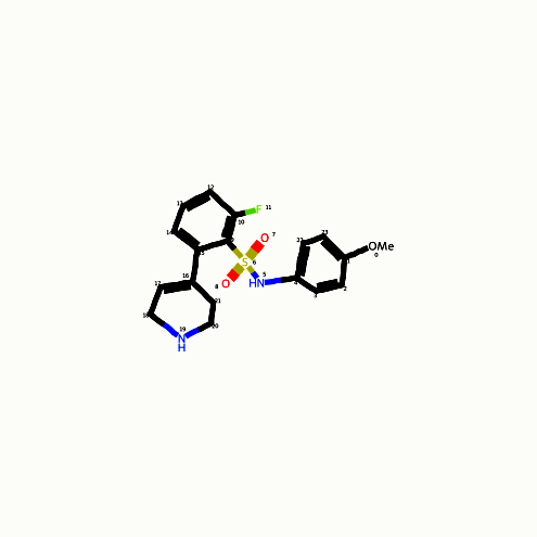 COc1ccc(NS(=O)(=O)c2c(F)cccc2C2=CCNCC2)cc1